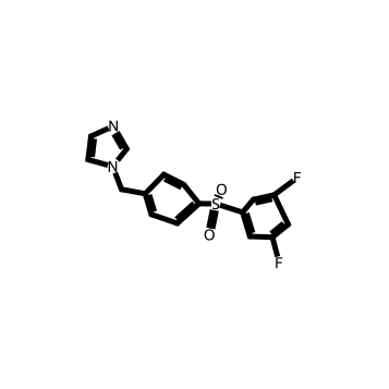 O=S(=O)(c1ccc(Cn2ccnc2)cc1)c1cc(F)cc(F)c1